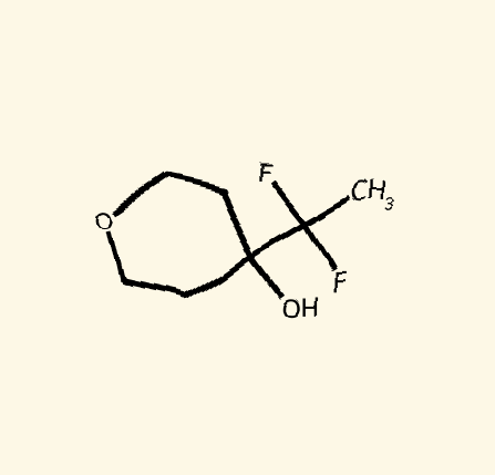 CC(F)(F)C1(O)CCOCC1